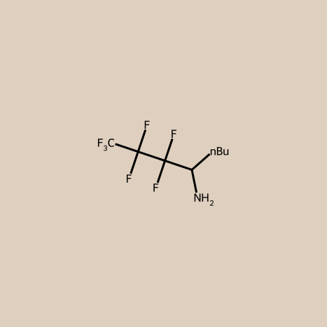 CCCCC(N)C(F)(F)C(F)(F)C(F)(F)F